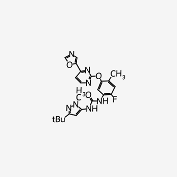 Cc1cc(F)c(NC(=O)Nc2cc(C(C)(C)C)nn2C)cc1Oc1nccc(-c2cnco2)n1